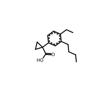 CCCCc1cc(C2(C(=O)O)CC2)ccc1CC